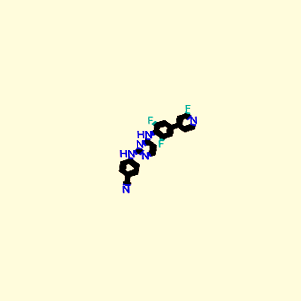 N#Cc1ccc(Nc2nccc(Nc3c(F)cc(-c4ccnc(F)c4)cc3F)n2)cc1